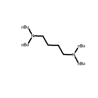 CCCCN(CCCC)CCCCN(CCCC)CCCC